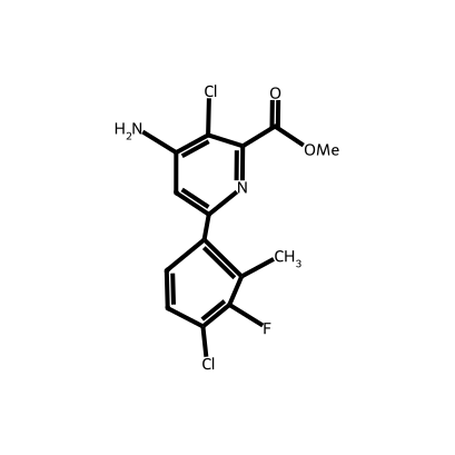 COC(=O)c1nc(-c2ccc(Cl)c(F)c2C)cc(N)c1Cl